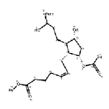 CCCCC[C@H](O)CC[C@@H]1[C@@H](C/C=C\CCCC(=O)OC(C)C)[C@@H](OC(=O)S)C[C@H]1O